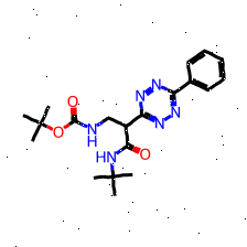 CC(C)(C)NC(=O)C(CNC(=O)OC(C)(C)C)c1nnc(-c2ccccc2)nn1